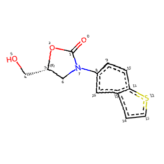 O=C1O[C@@H](CO)CN1c1ccc2sccc2c1